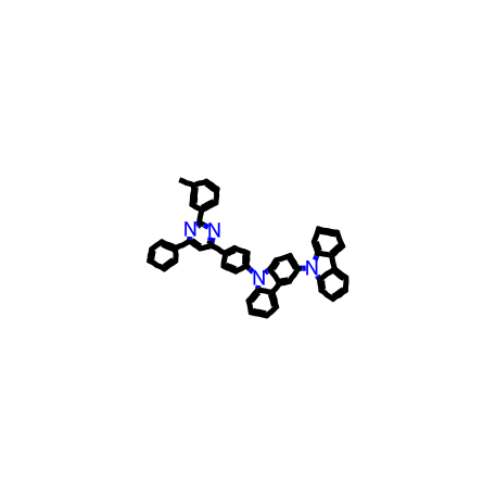 Cc1cccc(-c2nc(-c3ccccc3)cc(-c3ccc(-n4c5ccccc5c5cc(-n6c7ccccc7c7ccccc76)ccc54)cc3)n2)c1